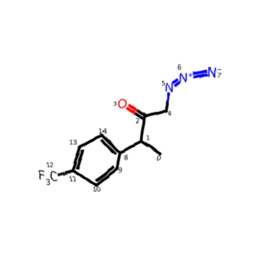 CC(C(=O)CN=[N+]=[N-])c1ccc(C(F)(F)F)cc1